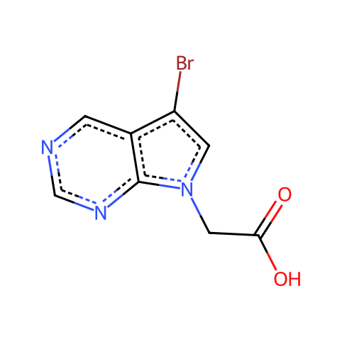 O=C(O)Cn1cc(Br)c2cncnc21